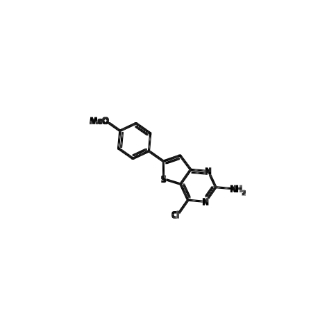 COc1ccc(-c2cc3nc(N)nc(Cl)c3s2)cc1